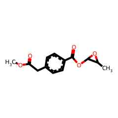 COC(=O)Cc1ccc(C(=O)OC2OC2C)cc1